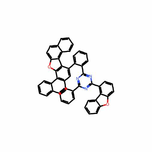 c1ccc(-c2nc(-c3ccccc3-c3cc4ccc5ccccc5c4c4oc5ccc6ccccc6c5c34)nc(-c3cccc4oc5ccccc5c34)n2)cc1